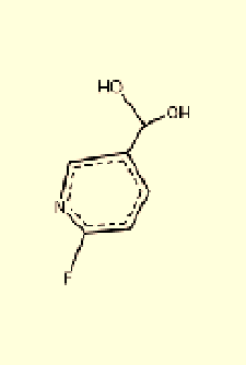 OC(O)c1ccc(F)nc1